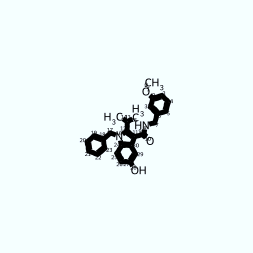 COc1cccc(CNC(=O)c2c(C(C)C)n(Cc3ccccc3)c3ccc(O)cc23)c1